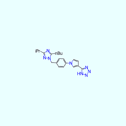 CCCCc1nc(C(C)C)nn1Cc1ccc(-n2ccc(-c3nnn[nH]3)c2)cc1